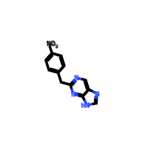 O=[N+]([O-])c1ccc(Cc2ncc3nc[nH]c3n2)cc1